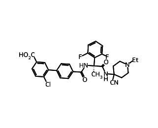 CCN1CCC(C#N)(NC(=O)[C@@](C)(NC(=O)c2ccc(-c3cc(C(=O)O)ccc3Cl)cc2)c2c(F)cccc2F)CC1